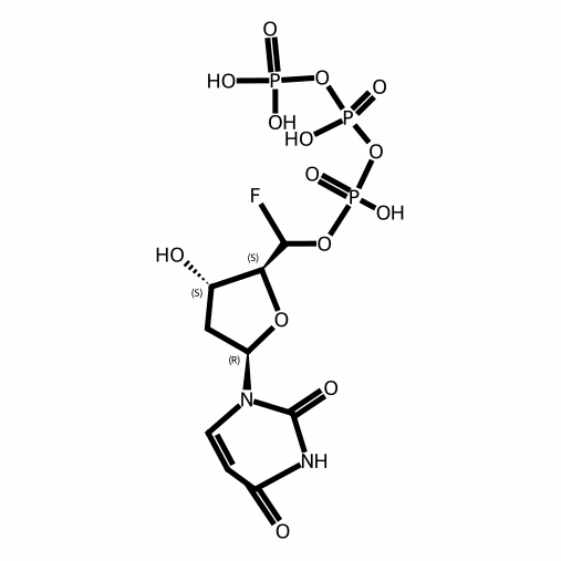 O=c1ccn([C@H]2C[C@H](O)[C@@H](C(F)OP(=O)(O)OP(=O)(O)OP(=O)(O)O)O2)c(=O)[nH]1